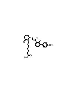 Cc1c(-c2ccc(O)cc2)cccc1C(O)/C=C/[C@H]1CCCC(=O)N1CCCCCCC(=O)O